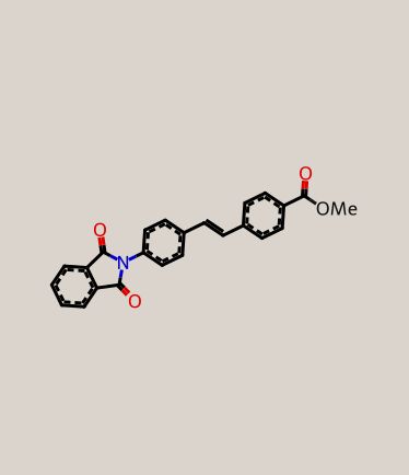 COC(=O)c1ccc(C=Cc2ccc(N3C(=O)c4ccccc4C3=O)cc2)cc1